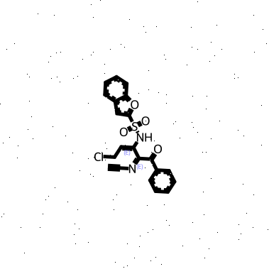 C#C/N=C(C(=O)c1ccccc1)\C(=C/CCl)NS(=O)(=O)c1cc2ccccc2o1